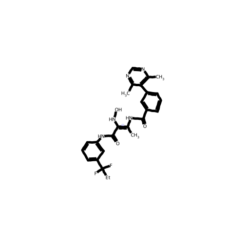 CCC(F)(F)c1cccc(NC(=O)/C(NO)=C(\C)NC(=O)c2cccc(-c3c(C)ncnc3C)c2)c1